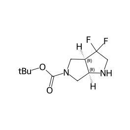 CC(C)(C)OC(=O)N1C[C@@H]2NCC(F)(F)[C@@H]2C1